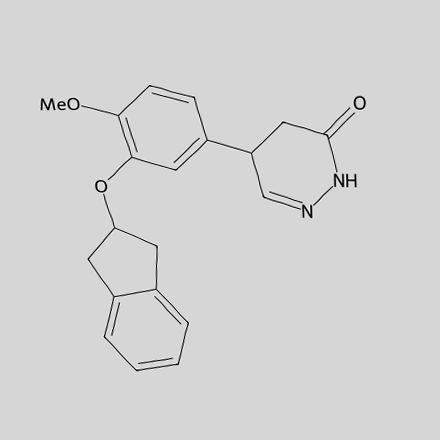 COc1ccc(C2C=NNC(=O)C2)cc1OC1Cc2ccccc2C1